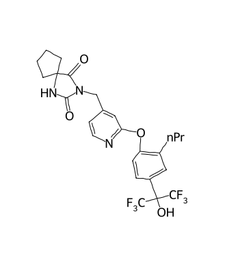 CCCc1cc(C(O)(C(F)(F)F)C(F)(F)F)ccc1Oc1cc(CN2C(=O)NC3(CCCC3)C2=O)ccn1